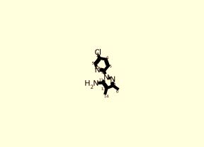 Cc1nn(-c2ccc(Cl)cn2)c(N)c1C